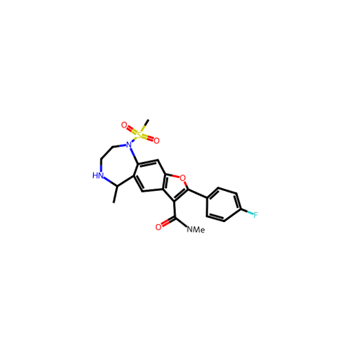 CNC(=O)c1c(-c2ccc(F)cc2)oc2cc3c(cc12)C(C)NCCN3S(C)(=O)=O